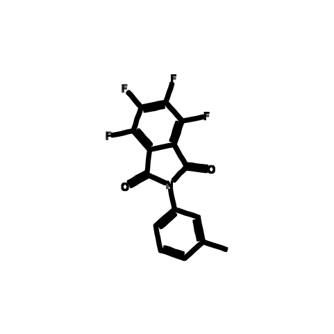 Cc1cccc(N2C(=O)c3c(F)c(F)c(F)c(F)c3C2=O)c1